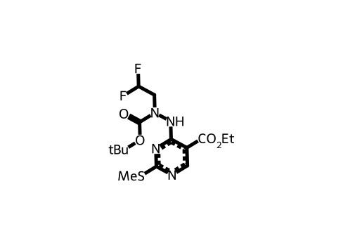 CCOC(=O)c1cnc(SC)nc1NN(CC(F)F)C(=O)OC(C)(C)C